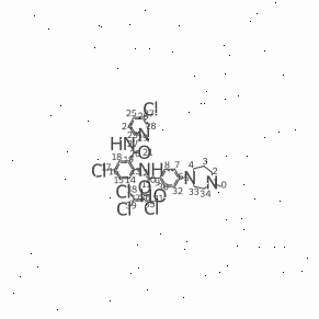 CN1CCCN(c2ccc(C(=O)Nc3ccc(Cl)cc3C(=O)Nc3ccc(Cl)cn3)c(O)c2)CC1.ClC=C(Cl)Cl